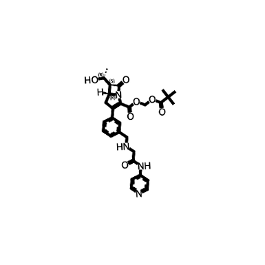 C[C@@H](O)[C@H]1C(=O)N2C(C(=O)OCOC(=O)C(C)(C)C)=C(c3cccc(CNCC(=O)Nc4ccncc4)c3)C[C@H]12